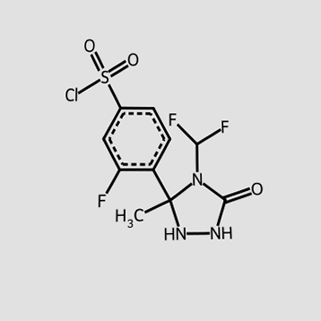 CC1(c2ccc(S(=O)(=O)Cl)cc2F)NNC(=O)N1C(F)F